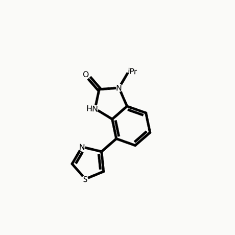 CC(C)n1c(=O)[nH]c2c(-c3cscn3)cccc21